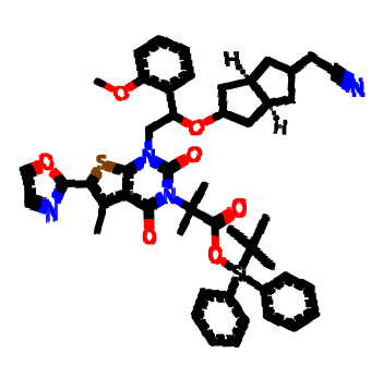 COc1ccccc1C(Cn1c(=O)n(C(C)(C)C(=O)O[Si](c2ccccc2)(c2ccccc2)C(C)(C)C)c(=O)c2c(C)c(-c3ncco3)sc21)OC1C[C@H]2CC(CC#N)C[C@H]2C1